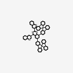 c1ccc2c(c1)-c1ccccc1C21c2ccccc2-c2ccc(-c3cc(-c4ccc5c(c4)C4(c6ccccc6-c6ccccc64)c4ccccc4-5)c4nc(-c5cnc6ccccc6c5)nc(-c5cnc6ccccc6c5)c4c3)cc21